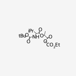 CCOC(=O)OC(=O)C(C)OC(=O)C(NC(=O)OC(C)(C)C)C(C)C